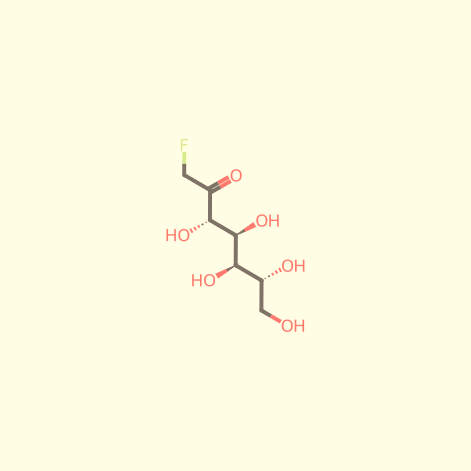 O=C(CF)[C@@H](O)[C@@H](O)[C@H](O)[C@H](O)CO